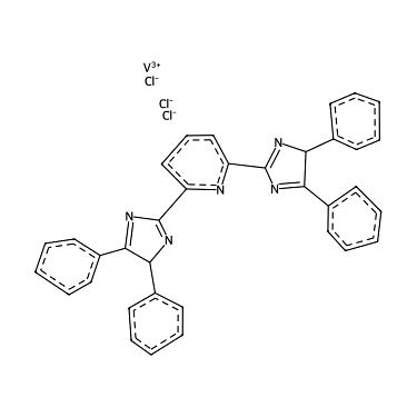 [Cl-].[Cl-].[Cl-].[V+3].c1ccc(C2=NC(c3cccc(C4=NC(c5ccccc5)C(c5ccccc5)=N4)n3)=NC2c2ccccc2)cc1